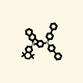 CC1(C)CCC(C)(C)c2cc(-n3c4ccc(N(c5ccc(-c6ccccc6)cc5)c5ccc(-c6ccccc6)cc5)cc4c4cc5ccccc5cc43)ccc21